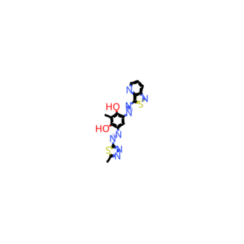 Cc1nnc(/N=N/c2cc(/N=N/c3snc4cccnc34)c(O)c(C)c2O)s1